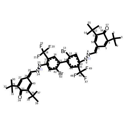 CC(C)(C)C1=CC(=C/N=N/c2cc(Br)c(-c3cc(C(F)(F)F)c(/N=N/C=C4C=C(C(C)(C)C)C(=O)C(C(C)(C)C)=C4)cc3Br)cc2C(F)(F)F)C=C(C(C)(C)C)C1=O